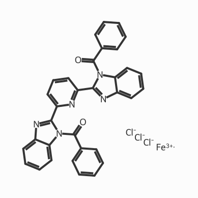 O=C(c1ccccc1)n1c(-c2cccc(-c3nc4ccccc4n3C(=O)c3ccccc3)n2)nc2ccccc21.[Cl-].[Cl-].[Cl-].[Fe+3]